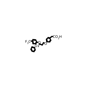 C[C@H](CCOc1ccc(CC(=O)O)cc1)Oc1ccc(C(F)(F)F)cc1Oc1ccccc1